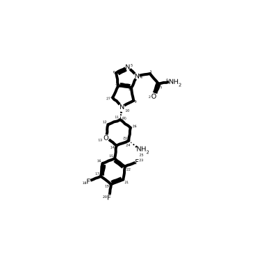 NC(=O)Cn1ncc2c1CN([C@H]1COC(c3cc(F)c(F)cc3F)[C@@H](N)C1)C2